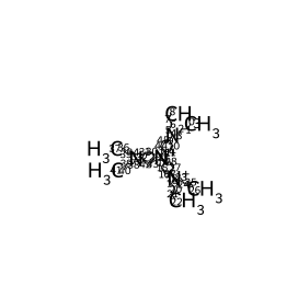 CCCCN(CCCC)c1ccc([N+](=C2C=CC(=[N+](CCCC)CCCC)C=C2)c2ccc(N(CCCC)CCCC)cc2)cc1